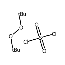 CC(C)(C)OOC(C)(C)C.O=S(=O)(Cl)Cl